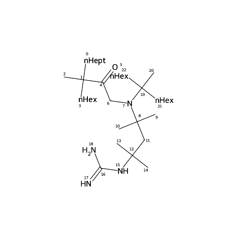 CCCCCCCC(C)(CCCCCC)C(=O)CN(C(C)(C)CC(C)(C)NC(=N)N)C(C)(CCCCCC)CCCCCC